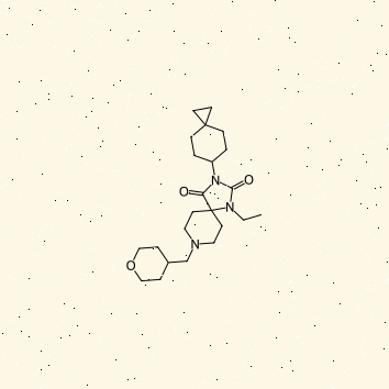 CCN1C(=O)N(C2CCC3(CC2)CC3)C(=O)C12CCN(CC1CCOCC1)CC2